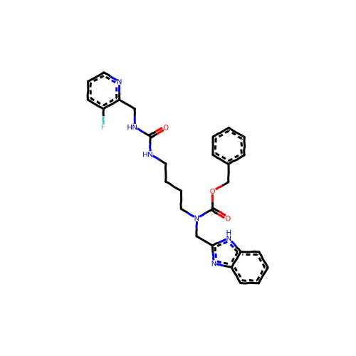 O=C(NCCCCN(Cc1nc2ccccc2[nH]1)C(=O)OCc1ccccc1)NCc1ncccc1F